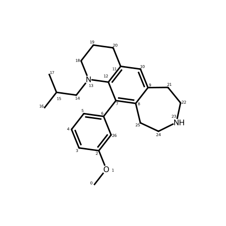 COc1cccc(-c2c3c(cc4c2N(CC(C)C)CCC4)CCNCC3)c1